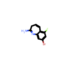 NC1=Nc2cc(Br)cc(F)c2C=CC1